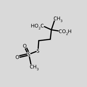 CC(CCSS(C)(=O)=O)(C(=O)O)C(=O)O